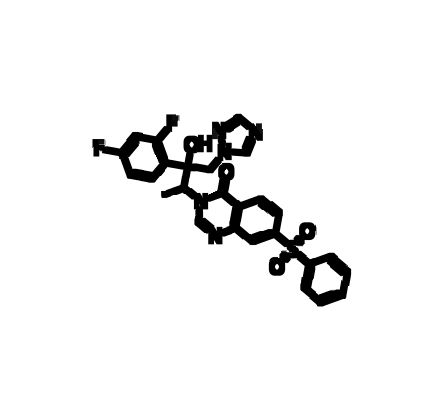 CC(n1cnc2cc(S(=O)(=O)c3ccccc3)ccc2c1=O)C(O)(Cn1cncn1)c1ccc(F)cc1F